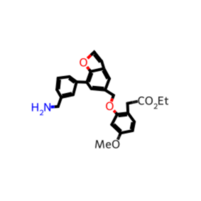 CCOC(=O)Cc1ccc(OC)cc1OCc1cc(-c2cccc(CN)c2)c2occc2c1